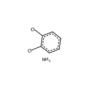 Clc1ccccc1Cl.N